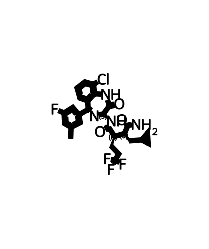 Cc1cc(F)cc(C2=N[C@H](NC(=O)[C@H](CCC(F)(F)F)[C@H](CC3CC3)C(N)=O)C(=O)Nc3c(Cl)cccc32)c1